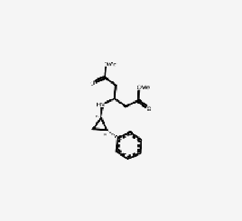 COC(=O)CC(CC(=O)OC)N[C@@H]1C[C@H]1c1ccccc1